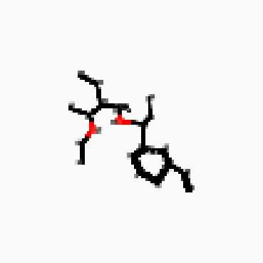 C=Cc1cccc(C(CC)O[SiH2]C(CC)C(C)OCC)c1